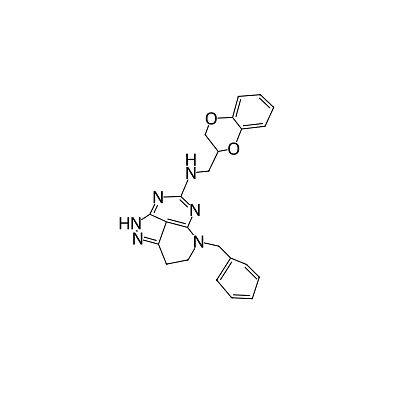 c1ccc(CN2CCc3n[nH]c4nc(NCC5COc6ccccc6O5)nc2c34)cc1